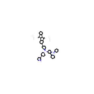 CC1(C)C2=C(c3ccccc31)C(C)(C)c1cc(-c3ccc(N(c4ccc(-c5cccnc5)cc4)c4ccc5c(c4)c4ccccc4n5-c4ccccc4)cc3)ccc12